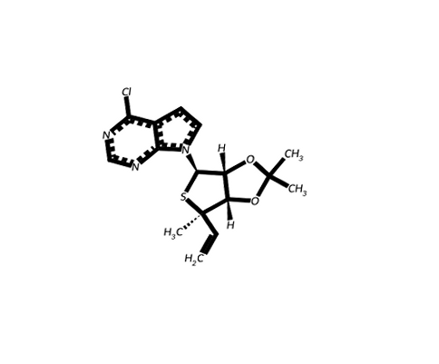 C=C[C@@]1(C)S[C@@H](n2ccc3c(Cl)ncnc32)[C@@H]2OC(C)(C)O[C@@H]21